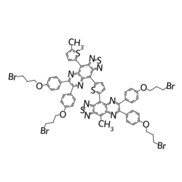 Cc1ccc(-c2c3nsnc3c(-c3ccc(-c4c5nsnc5c(C)c5nc(-c6ccc(OCCCBr)cc6)c(-c6ccc(OCCCBr)cc6)nc45)s3)c3nc(-c4ccc(OCCCBr)cc4)c(-c4ccc(OCCCBr)cc4)nc23)s1